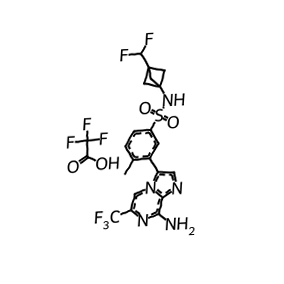 Cc1ccc(S(=O)(=O)NC23CC(C(F)F)(C2)C3)cc1-c1cnc2c(N)nc(C(F)(F)F)cn12.O=C(O)C(F)(F)F